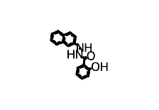 O=C(NNc1ccc2ccccc2c1)c1ccccc1O